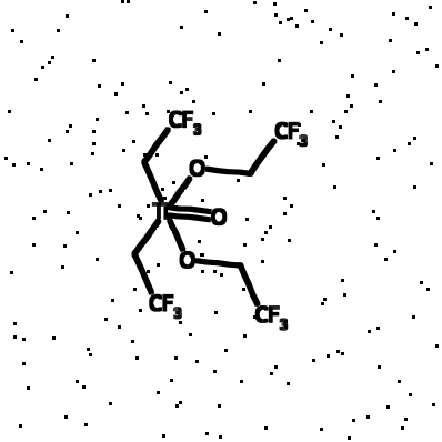 [O]=[Ti]([CH2]C(F)(F)F)([CH2]C(F)(F)F)([O]CC(F)(F)F)[O]CC(F)(F)F